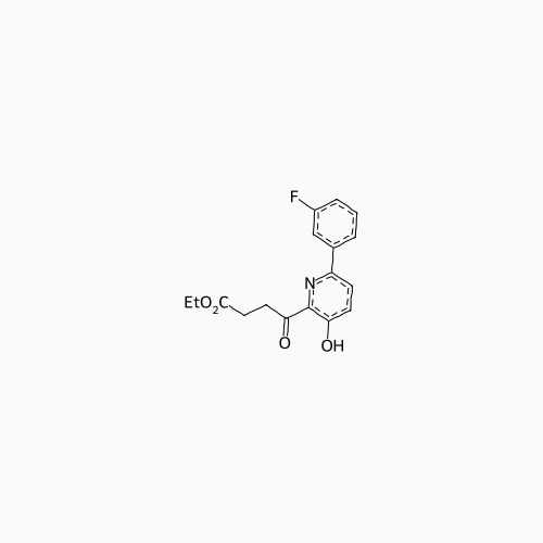 CCOC(=O)CCC(=O)c1nc(-c2cccc(F)c2)ccc1O